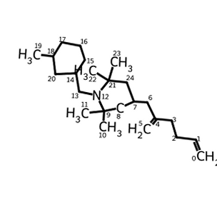 C=CCCC(=C)CC1CC(C)(C)N(CC2CCCC(C)C2)C(C)(C)C1